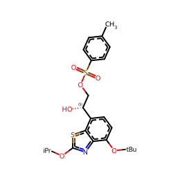 Cc1ccc(S(=O)(=O)OC[C@@H](O)c2ccc(OC(C)(C)C)c3nc(OC(C)C)sc23)cc1